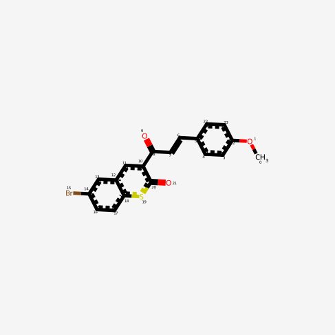 COc1ccc(/C=C/C(=O)c2cc3cc(Br)ccc3sc2=O)cc1